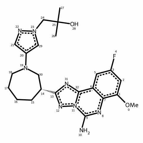 COc1cc(F)cc2c1nc(N)n1nc([C@@H]3CCCCN(c4cnn(CC(C)(C)O)c4)C3)nc21